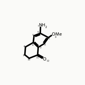 COc1cc2c(cc1N)CCCC2=O